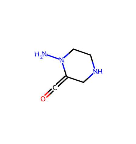 NN1CCNCC1=C=O